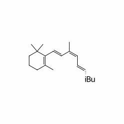 [CH2]C[C@@H](C)/C=C/C=C(C)\C=C\C1=C(C)CCCC1(C)C